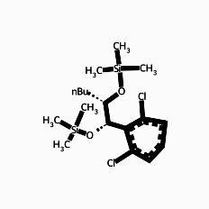 CCCC[C@H](O[Si](C)(C)C)[C@@H](O[Si](C)(C)C)c1c(Cl)cccc1Cl